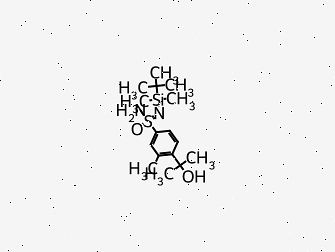 Cc1cc(S(N)(=O)=N[Si](C)(C)C(C)(C)C)ccc1C(C)(C)O